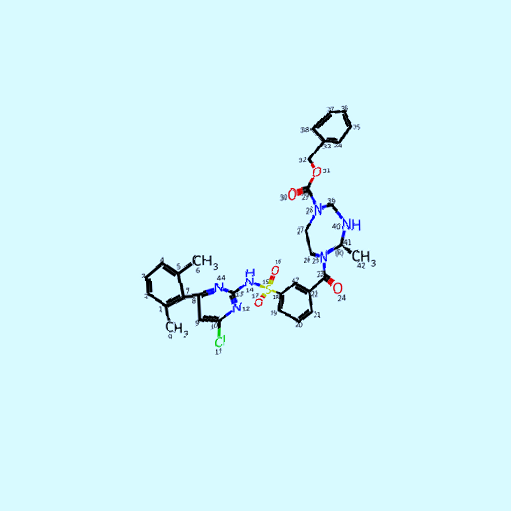 Cc1cccc(C)c1-c1cc(Cl)nc(NS(=O)(=O)c2cccc(C(=O)N3CCN(C(=O)OCc4ccccc4)CN[C@H]3C)c2)n1